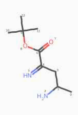 CC(N)CC(=N)C(=O)OC(C)(C)C